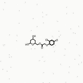 O=C(COc1ccc(Cl)cc1Cl)OCC1CC(O)CC(O)O1